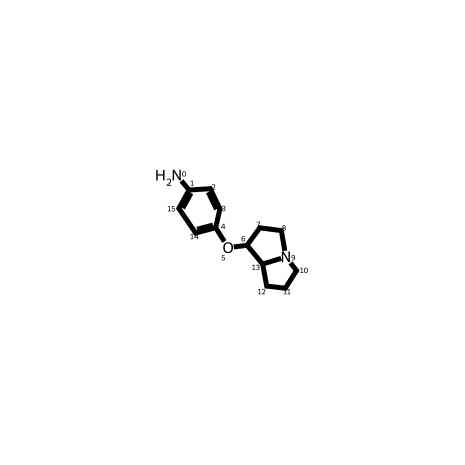 Nc1ccc(OC2CCN3CCCC23)cc1